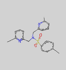 Cc1ccc(S(=O)(=O)N(Cc2cccc(C)n2)Cc2cccc(C)n2)cc1